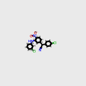 N#CC(c1ccc(Cl)cc1)c1ccc([N+](=O)[O-])c(Nc2cccc(Cl)c2)c1